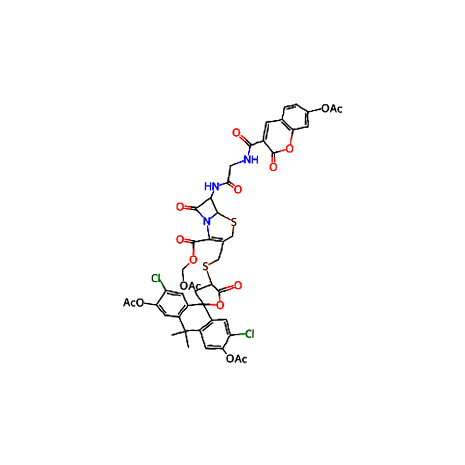 CC(=O)OCOC(=O)C1=C(CSC2CC3(OC2=O)c2cc(Cl)c(OC(C)=O)cc2C(C)(C)c2cc(OC(C)=O)c(Cl)cc23)CSC2C(NC(=O)CNC(=O)c3cc4ccc(OC(C)=O)cc4oc3=O)C(=O)N12